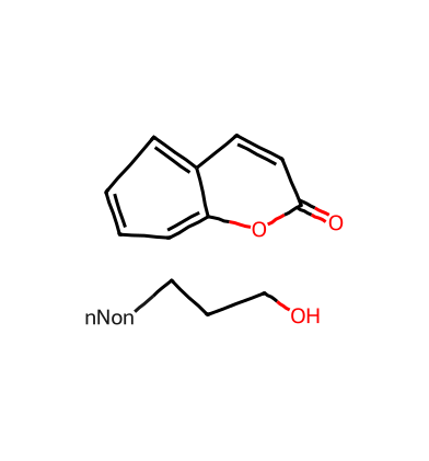 CCCCCCCCCCCCO.O=c1ccc2ccccc2o1